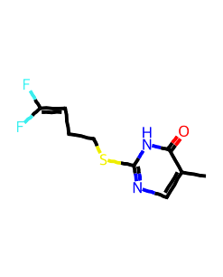 Cc1cnc(SCCC=C(F)F)[nH]c1=O